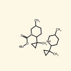 CC1CCC(C2(C)CC2)N(C(=O)OC(C)(C)C)C1.CC1CCC(C2(C)CC2)NC1